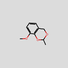 COc1cccc2c1OC(C)OC2